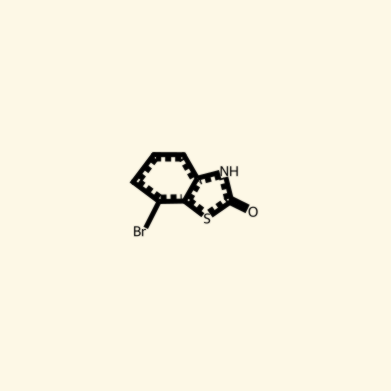 O=c1[nH]c2cccc(Br)c2s1